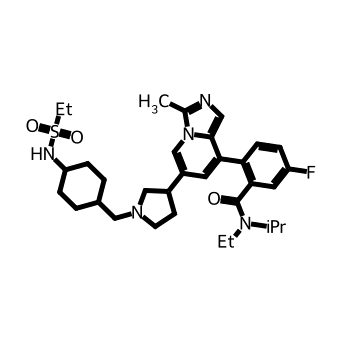 CCN(C(=O)c1cc(F)ccc1-c1cc(C2CCN(CC3CCC(NS(=O)(=O)CC)CC3)C2)cn2c(C)ncc12)C(C)C